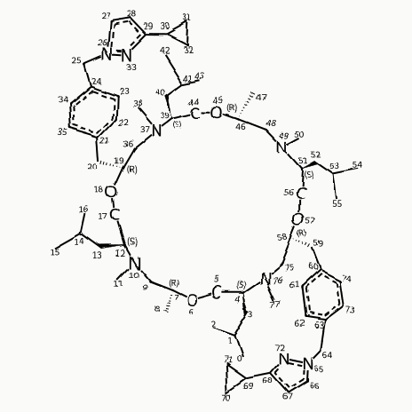 CC(C)C[C@H]1CO[C@H](C)CN(C)[C@@H](CC(C)C)CO[C@H](Cc2ccc(Cn3ccc(C4CC4)n3)cc2)CN(C)[C@@H](CC(C)C)CO[C@H](C)CN(C)[C@@H](CC(C)C)CO[C@H](Cc2ccc(Cn3ccc(C4CC4)n3)cc2)CN1C